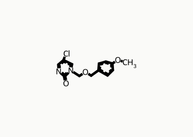 COc1ccc(COCn2cc(Cl)cnc2=O)cc1